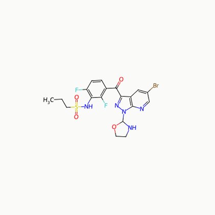 CCCS(=O)(=O)Nc1c(F)ccc(C(=O)c2nn(C3NCCO3)c3ncc(Br)cc23)c1F